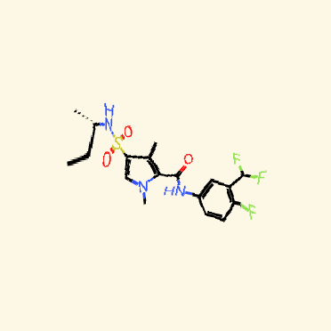 CC[C@H](C)NS(=O)(=O)c1cn(C)c(C(=O)Nc2ccc(F)c(C(F)F)c2)c1C